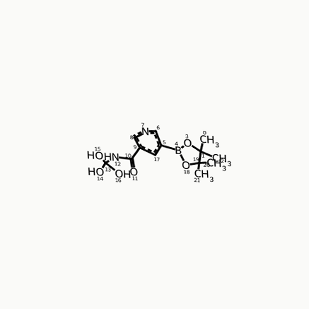 CC1(C)OB(c2cncc(C(=O)NC(O)(O)O)c2)OC1(C)C